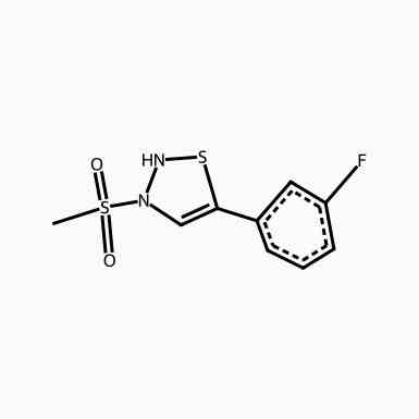 CS(=O)(=O)N1C=C(c2cccc(F)c2)SN1